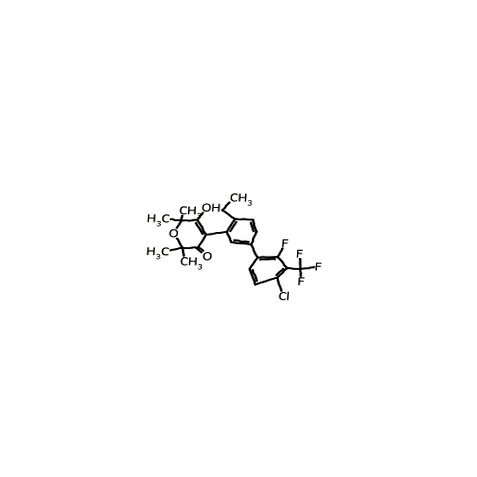 CCc1ccc(-c2ccc(Cl)c(C(F)(F)F)c2F)cc1C1=C(O)C(C)(C)OC(C)(C)C1=O